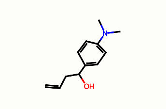 C=CCC(O)c1ccc(N(C)C)cc1